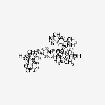 Cc1ncsc1-c1ccc([C@H](C)NC(=O)[C@@H]2C[C@@H](O)CN2C(=O)[C@@H](NC(=O)CCN2CCC(c3ccc4c(c3)-n3c(nc(=O)c5c(Cl)cccc53)C4(C)C)CC2)C(C)(C)C)cc1